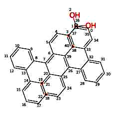 OB(O)c1ccc2c(-c3ccccc3-c3ccccc3)c3ccccc3c(-c3ccccc3-c3ccccc3)c2c1